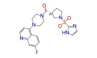 O=C([C@@H]1CCN(S(=O)(=O)c2ncc[nH]2)C1)N1CCN(c2ccnc3cc(F)ccc23)CC1